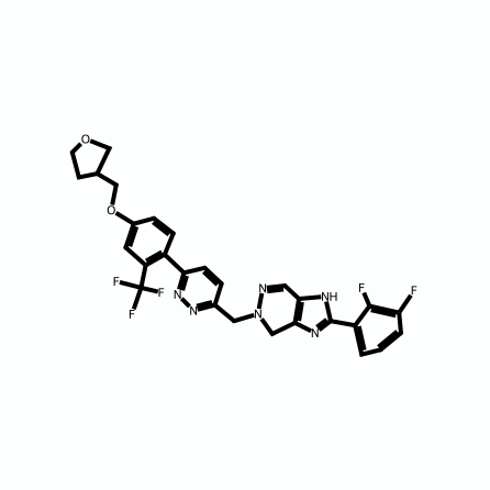 Fc1cccc(-c2nc3c([nH]2)C=NN(Cc2ccc(-c4ccc(OCC5CCOC5)cc4C(F)(F)F)nn2)C3)c1F